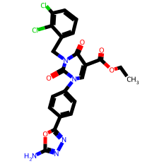 CCOC(=O)c1cn(-c2ccc(-c3nnc(N)o3)cc2)c(=O)n(Cc2cccc(Cl)c2Cl)c1=O